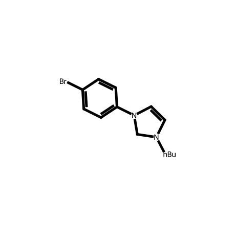 CCCCN1C=CN(c2ccc(Br)cc2)C1